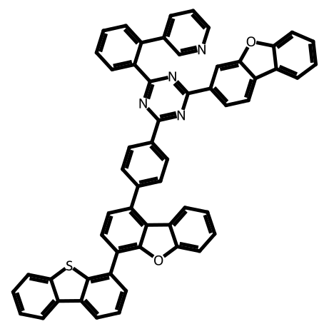 c1cncc(-c2ccccc2-c2nc(-c3ccc(-c4ccc(-c5cccc6c5sc5ccccc56)c5oc6ccccc6c45)cc3)nc(-c3ccc4c(c3)oc3ccccc34)n2)c1